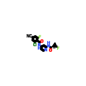 N#Cc1cc(F)c(C(=O)Nc2ccnc(NC(=O)[C@@H]3C[C@@H]3F)c2)c(Cl)c1